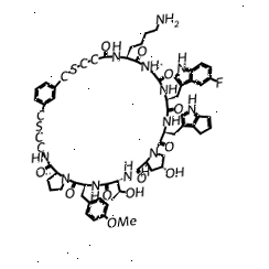 COc1ccc(C[C@@H]2NC(=O)[C@@H]([C@H](C)O)NC(=O)[C@@H]3C[C@@H](O)CN3C(=O)[C@H](Cc3c[nH]c4c3CC=C4)NC(=O)[C@H](Cc3c[nH]c4ccc(F)cc34)NC(=O)[C@@H](C)NC(=O)[C@H](CCCCN)NC(=O)CCSCc3cccc(c3)CSCCNC(=O)[C@]3(C)CCCN3C2=O)cc1